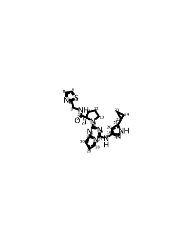 C[C@@]1(C(=O)NCc2nccs2)CCCN1c1nc(Nc2cc(C3CC3)[nH]n2)n2cccc2n1